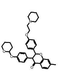 Cc1ccc2c(c1)OC(c1ccc(OCCN3CCCCC3)cc1)C(c1ccc(OC3CCCCO3)cc1)C2=O